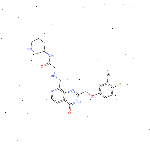 O=C(CNCc1nccc2c(=O)[nH]c(COc3ccc(F)c(Cl)c3)nc12)N[C@@H]1CCCNC1